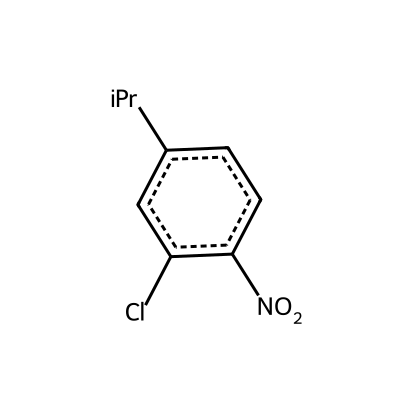 CC(C)c1ccc([N+](=O)[O-])c(Cl)c1